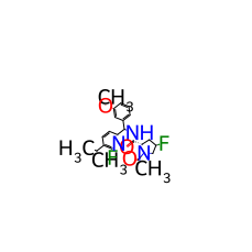 COc1cccc(C(NC(=O)[C@@H]2C[C@@H](F)CN2C(C)=O)c2ccc(C(C)C)c(F)n2)c1